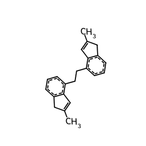 CC1=Cc2c(CCc3cccc4c3C=C(C)C4)cccc2C1